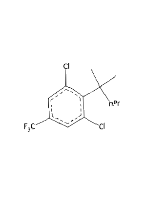 CCCC(C)(C)c1c(Cl)cc(C(F)(F)F)cc1Cl